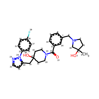 CC1(O)CCN(Cc2cccc(C(=O)N3CCC(O)(Cc4ccnn4-c4ccc(F)cc4)CC3)c2)C1